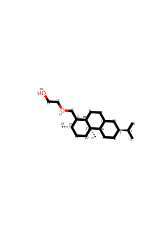 CC(C)[C@H]1CCC2C(CCC3C(COCCO)[C@@H](C)CC[C@]23C)C1